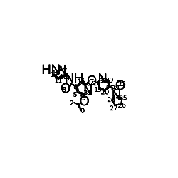 CC(C)Oc1cc(C(=O)Nc2cc[nH]n2)cc(Oc2ccc(C(=O)N3CCCC3)cn2)n1